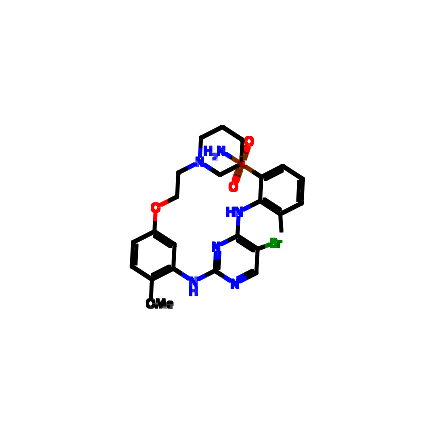 COc1ccc(OCCN2CCCCC2)cc1Nc1ncc(Br)c(Nc2c(C)cccc2S(N)(=O)=O)n1